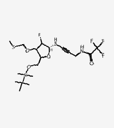 CSCOC1C(CO[Si](C)(C)C(C)(C)C)O[C@@H](BC#CCNC(=O)C(F)(F)F)C1F